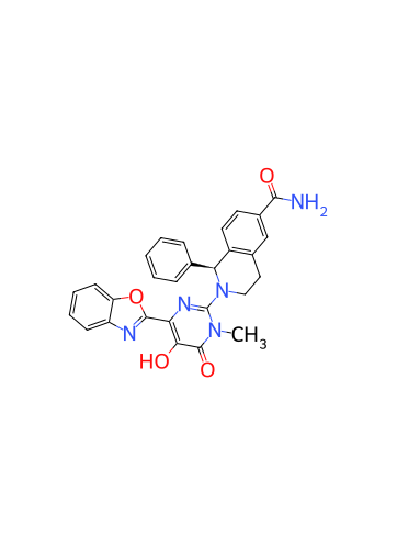 Cn1c(N2CCc3cc(C(N)=O)ccc3[C@@H]2c2ccccc2)nc(-c2nc3ccccc3o2)c(O)c1=O